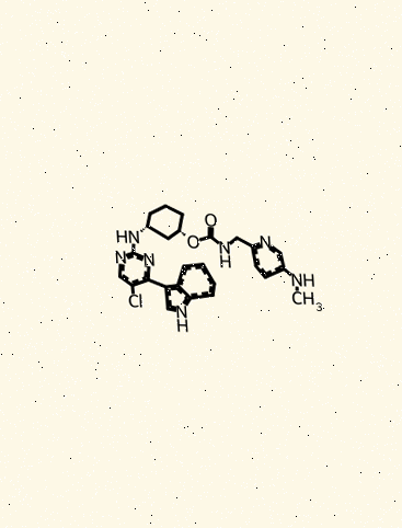 CNc1ccc(CNC(=O)O[C@H]2CCC[C@@H](Nc3ncc(Cl)c(-c4c[nH]c5ccccc45)n3)C2)nc1